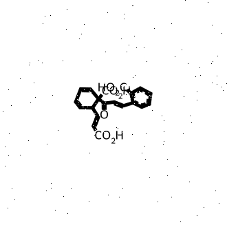 O=C(O)/C=C/C1C=CC=CC1(C(=O)O)C(=O)/C=C/c1ccccc1C(=O)O